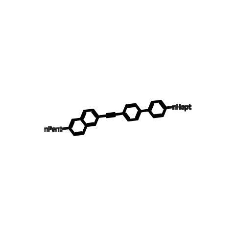 CCCCCCCc1ccc(-c2ccc(C#Cc3ccc4cc(CCCCC)ccc4c3)cc2)cc1